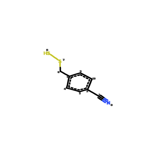 N#Cc1ccc(CSS)cc1